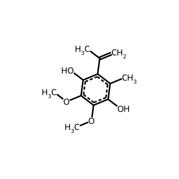 C=C(C)c1c(C)c(O)c(OC)c(OC)c1O